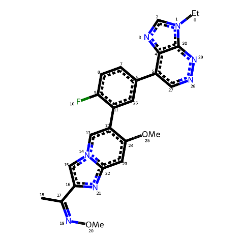 CCn1cnc2c(-c3ccc(F)c(-c4cn5cc(/C(C)=N\OC)nc5cc4OC)c3)cnnc21